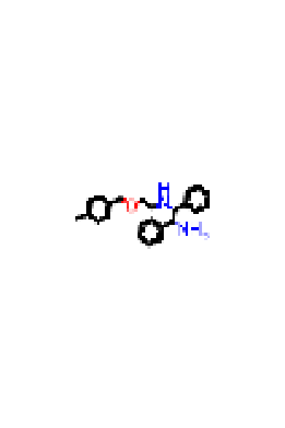 CC1=CCC(COCCN[C@H](c2ccccc2)[C@H](N)c2ccccc2)=CC1